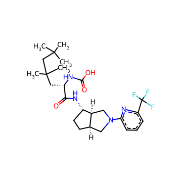 CC(C)(C)CC(C)(C)C[C@H](NC(=O)O)C(=O)N[C@H]1CC[C@@H]2CN(c3cccc(C(F)(F)F)n3)C[C@@H]21